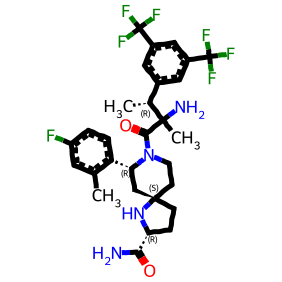 Cc1cc(F)ccc1[C@H]1C[C@]2(CC[C@H](C(N)=O)N2)CCN1C(=O)C(C)(N)[C@H](C)c1cc(C(F)(F)F)cc(C(F)(F)F)c1